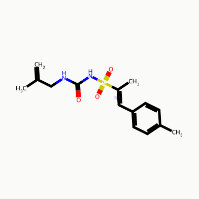 C=C(C)CNC(=O)NS(=O)(=O)/C(C)=C/c1ccc(C)cc1